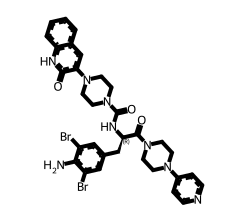 Nc1c(Br)cc(C[C@@H](NC(=O)N2CCN(c3cc4ccccc4[nH]c3=O)CC2)C(=O)N2CCN(c3ccncc3)CC2)cc1Br